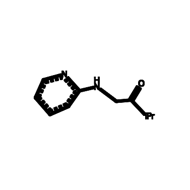 CC(C)C(=O)CNc1ccccn1